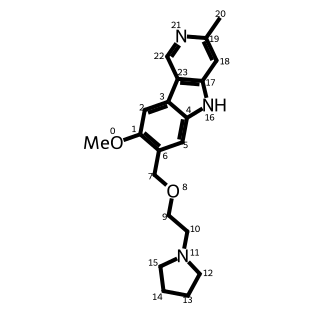 COc1cc2c(cc1COCCN1CCCC1)[nH]c1cc(C)ncc12